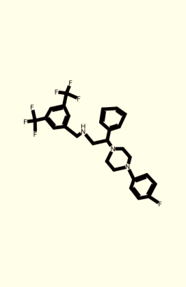 Fc1ccc(N2CCN(C(CNCc3cc(C(F)(F)F)cc(C(F)(F)F)c3)c3ccccc3)CC2)cc1